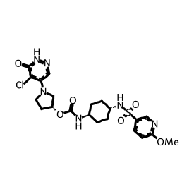 COc1ccc(S(=O)(=O)N[C@H]2CC[C@H](NC(=O)O[C@@H]3CCN(c4cn[nH]c(=O)c4Cl)C3)CC2)cn1